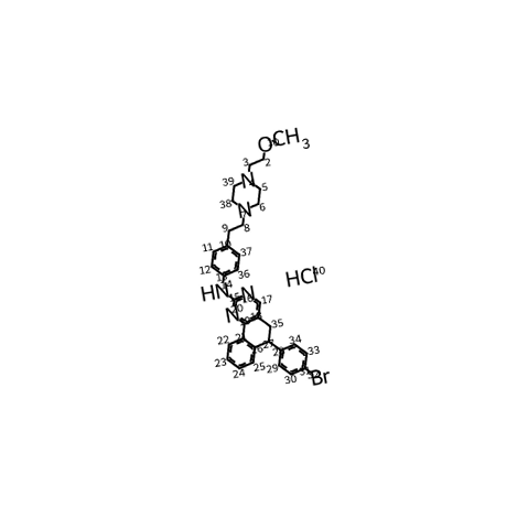 COCCN1CCN(CCc2ccc(Nc3ncc4c(n3)-c3ccccc3C(c3ccc(Br)cc3)C4)cc2)CC1.Cl